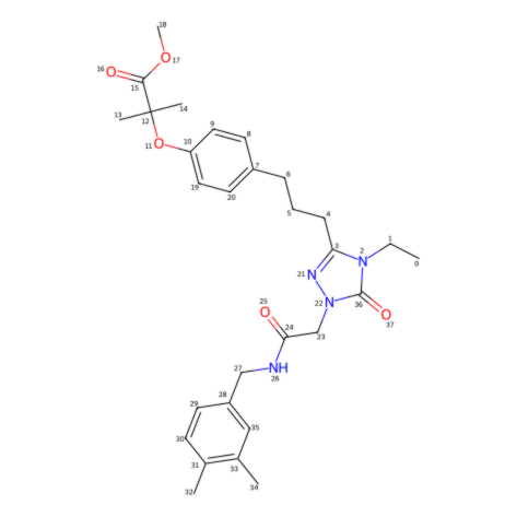 CCn1c(CCCc2ccc(OC(C)(C)C(=O)OC)cc2)nn(CC(=O)NCc2ccc(C)c(C)c2)c1=O